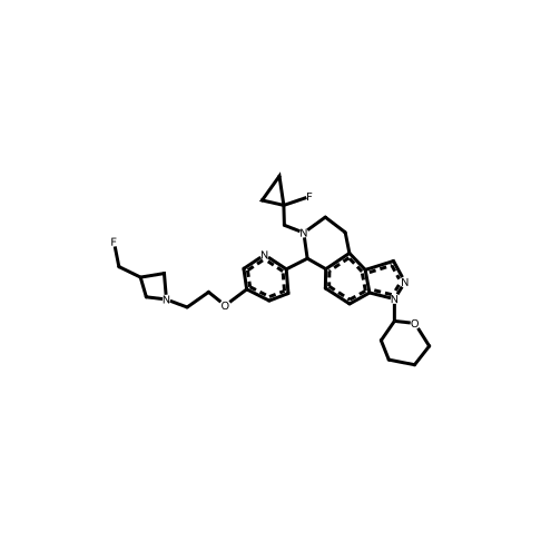 FCC1CN(CCOc2ccc(C3c4ccc5c(cnn5C5CCCCO5)c4CCN3CC3(F)CC3)nc2)C1